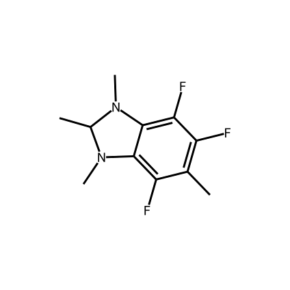 Cc1c(F)c(F)c2c(c1F)N(C)C(C)N2C